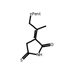 CCCCCC/C(C)=C1\CC(=S)NC1=O